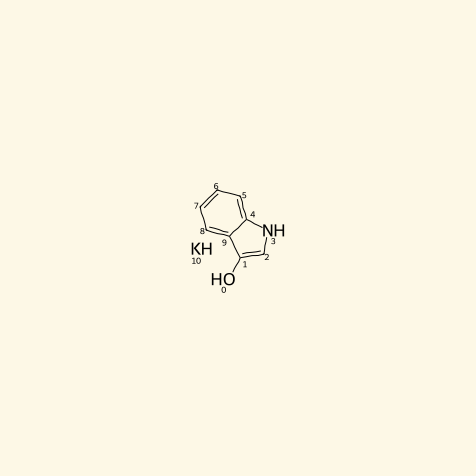 Oc1c[nH]c2ccccc12.[KH]